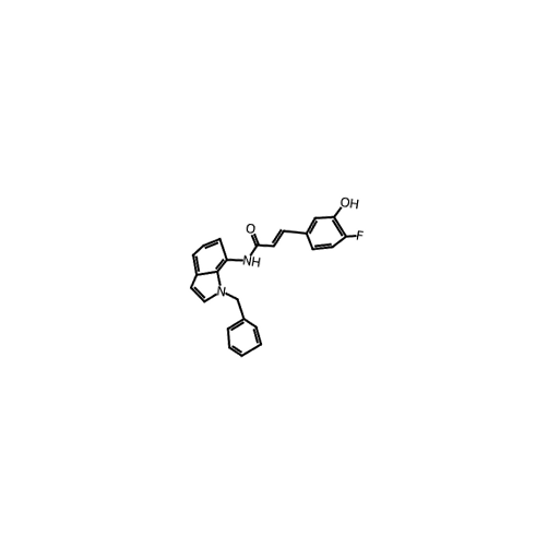 O=C(/C=C/c1ccc(F)c(O)c1)Nc1cccc2ccn(Cc3ccccc3)c12